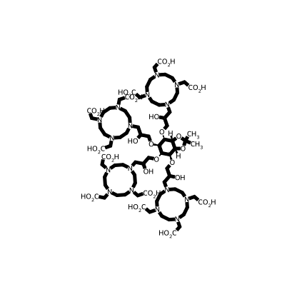 CC1(C)O[C@@H]2[C@@H](OCC(O)CN3CCN(CC(=O)O)CCN(CC(=O)O)CCN(CC(=O)O)CC3)[C@H](OCC(O)CN3CCN(CC(=O)O)CCN(CC(=O)O)CCN(CC(=O)O)CC3)[C@@H](OCC(O)CN3CCN(CC(=O)O)CCN(CC(=O)O)CCN(CC(=O)O)CC3)[C@H](OCC(O)CN3CCN(CC(=O)O)CCN(CC(=O)O)CCN(CC(=O)O)CC3)[C@@H]2O1